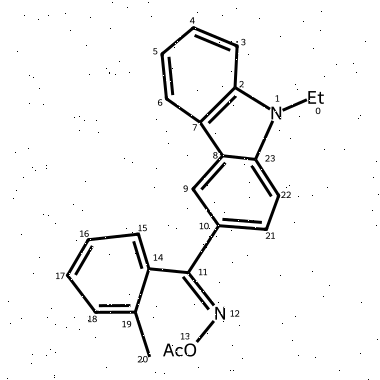 CCn1c2[c]cccc2c2cc(C(=NOC(C)=O)c3ccccc3C)ccc21